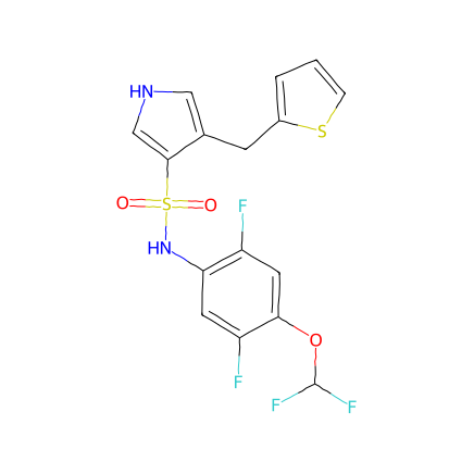 O=S(=O)(Nc1cc(F)c(OC(F)F)cc1F)c1c[nH]cc1Cc1cccs1